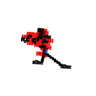 CCCCCCCCCCCCC/C=C/[C@@H](O)[C@H](CO[C@@H]1OC(CO)[C@@H](O[C@@H]2OC(CO)[C@H](O)[C@H](O[C@@H]3OC(CO)[C@@H](O[C@@H]4OC(CO)[C@H](O)[C@H](O)C4O[C@H]4OC(C)[C@@H](O)C(O)[C@@H]4O)[C@H](O[C@H]4OC(C)[C@@H](O)C(O)[C@@H]4O)C3NC(C)=O)C2O)[C@H](O)C1O)NC(=O)CCCCCCCCCCCCCCCCCCCCCCC